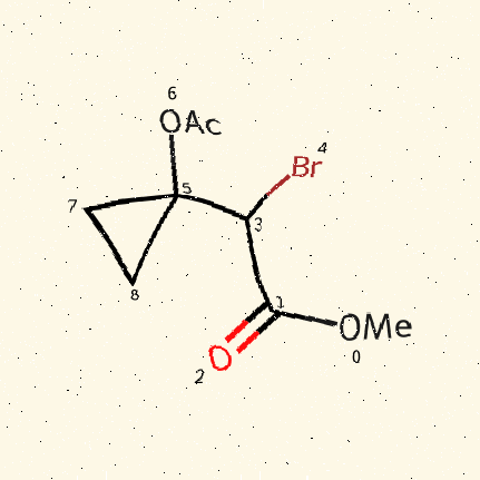 COC(=O)C(Br)C1(OC(C)=O)CC1